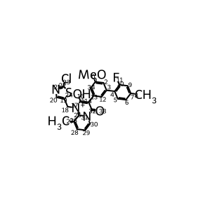 COc1cc(-c2ccc(C)cc2F)cc(-c2c(O)[n+](Cc3cnc(Cl)s3)c3c(C)cccn3c2=O)c1